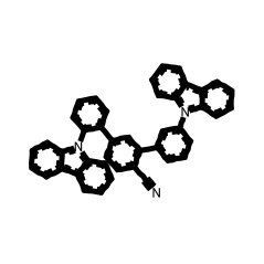 N#Cc1ccc(-c2ccccc2-n2c3ccccc3c3ccccc32)cc1-c1cccc(-n2c3ccccc3c3ccccc32)c1